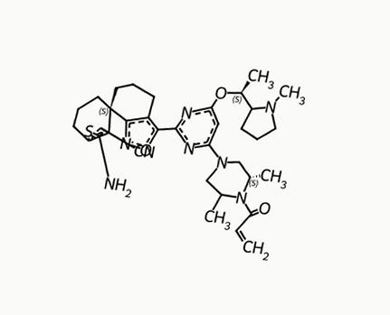 C=CC(=O)N1C(C)CN(c2cc(O[C@@H](C)C3CCCN3C)nc(-c3onc4c3CCC[C@@]43CCCc4sc(N)c(C#N)c43)n2)C[C@@H]1C